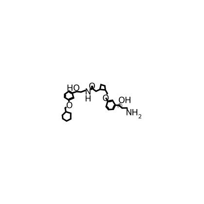 NCC[C@@H](O)c1cccc(OCC2CCC2CC(=O)NCCC(O)c2cccc(OCC3CCCCC3)c2)c1